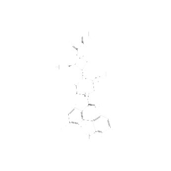 C=CC(=O)N1C[C@@H](N2CCN(C(=O)c3ccc(Br)cc3-c3ccccc3Cl)C[C@@H]2C)[C@H]1C